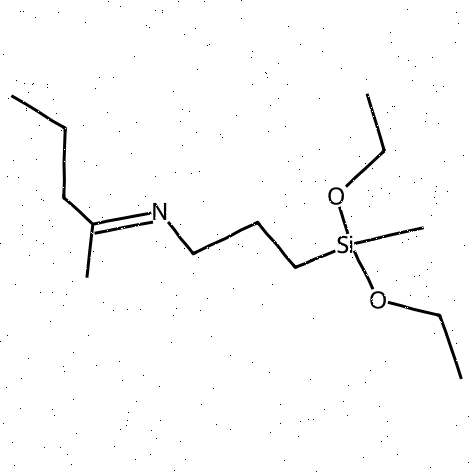 CCCC(C)=NCCC[Si](C)(OCC)OCC